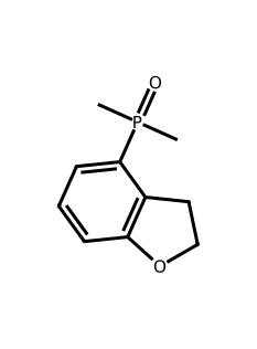 CP(C)(=O)c1cccc2c1CCO2